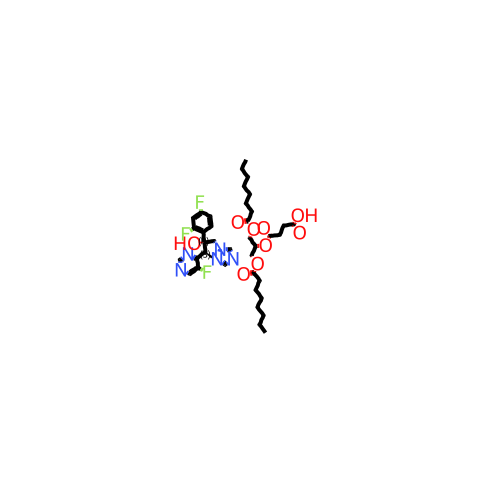 CCCCCCCC(=O)OCC(COC(=O)CCCCCCC)OC(=O)CCC(=O)O.C[C@@H](c1ncncc1F)[C@](O)(Cn1cncn1)c1ccc(F)cc1F